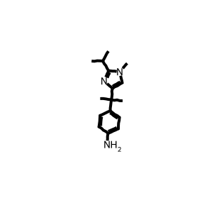 CC(C)c1nc(C(C)(C)c2ccc(N)cc2)cn1C